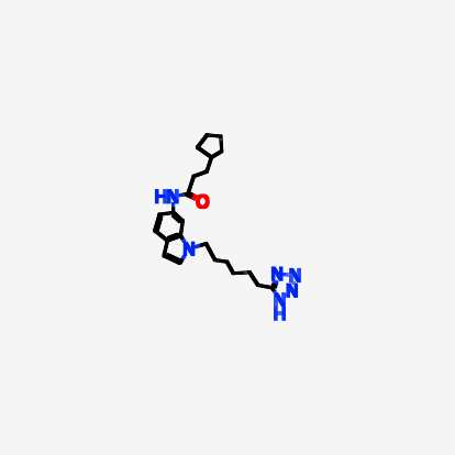 O=C(CCC1CCCC1)Nc1ccc2ccn(CCCCCCc3nnn[nH]3)c2c1